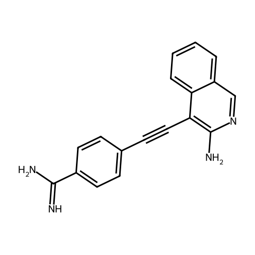 N=C(N)c1ccc(C#Cc2c(N)ncc3ccccc23)cc1